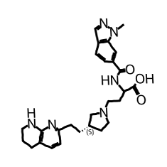 Cn1ncc2ccc(C(=O)NC(CCN3CC[C@H](CCc4ccc5c(n4)NCCC5)C3)C(=O)O)cc21